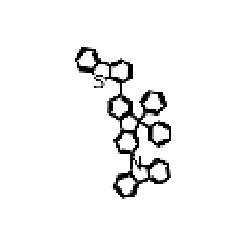 c1ccc(C2(c3ccccc3)c3cc(-c4cccc5c4sc4ccccc45)ccc3-c3ccc(-n4c5ccccc5c5ccccc54)cc32)cc1